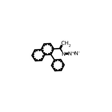 C=C(N=[N+]=[N-])c1ccc2ccccc2c1-c1ccccc1